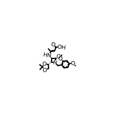 COc1ccc(CN2C(=O)[C@@H](NC(C)=CC(=O)O)[C@H]2C2COC(C)(C)O2)c(OC)c1